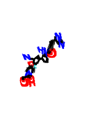 N#Cc1cc(-c2cccc(NC(=O)[C@@H]3C[C@H]3c3cncnc3)c2)ccc1O[C@H]1CCN(C(=O)CO)C[C@H]1F